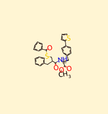 COC(=O)[C@H](Cc1ccc(-c2cccs2)cc1)NC(=O)C(CSC(=O)c1ccccc1)Cc1ccccc1